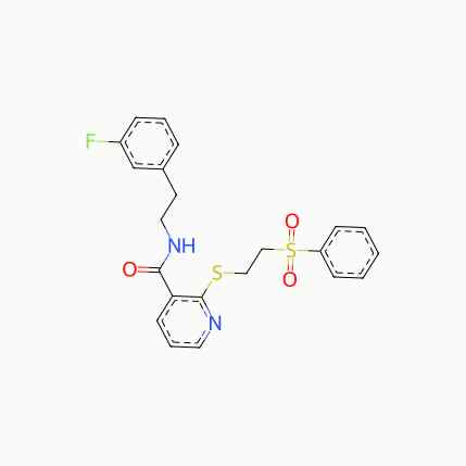 O=C(NCCc1cccc(F)c1)c1cccnc1SCCS(=O)(=O)c1ccccc1